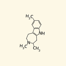 Cc1ccc2[nH]c3c(c2c1)CCN(C)C(C)C3